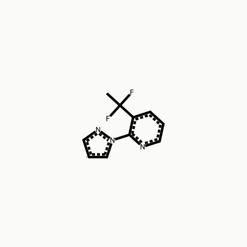 CC(F)(F)c1cccnc1-n1c[c]cn1